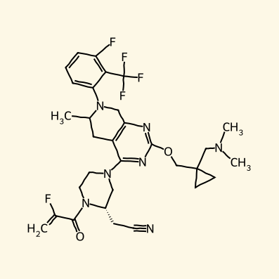 C=C(F)C(=O)N1CCN(c2nc(OCC3(CN(C)C)CC3)nc3c2CC(C)N(c2cccc(F)c2C(F)(F)F)C3)C[C@@H]1CC#N